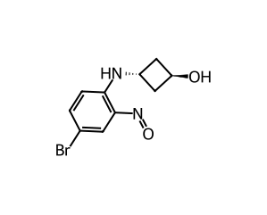 O=Nc1cc(Br)ccc1N[C@H]1C[C@H](O)C1